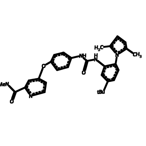 CNC(=O)c1cc(Oc2ccc(NC(=O)Nc3cc(C(C)(C)C)ccc3-n3c(C)ccc3C)cc2)ccn1